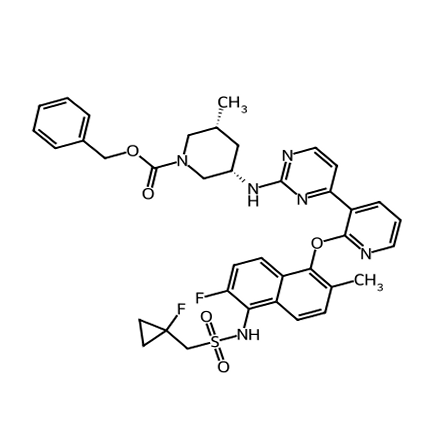 Cc1ccc2c(NS(=O)(=O)CC3(F)CC3)c(F)ccc2c1Oc1ncccc1-c1ccnc(N[C@H]2C[C@@H](C)CN(C(=O)OCc3ccccc3)C2)n1